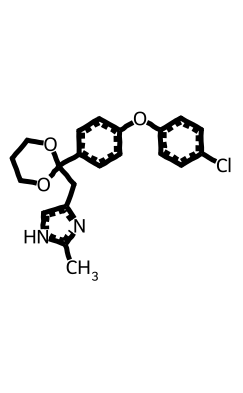 Cc1nc(CC2(c3ccc(Oc4ccc(Cl)cc4)cc3)OCCCO2)c[nH]1